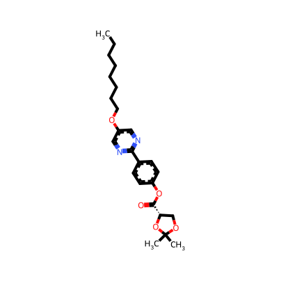 CCCCCCCCOc1cnc(-c2ccc(OC(=O)[C@@H]3COC(C)(C)O3)cc2)nc1